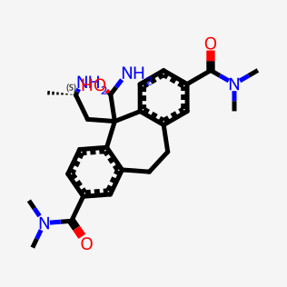 C[C@H](N)CC1(C(N)O)c2ccc(C(=O)N(C)C)cc2CCc2cc(C(=O)N(C)C)ccc21